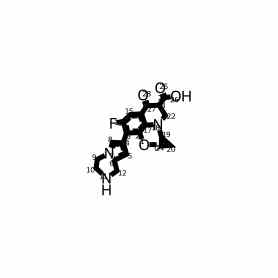 COc1c(-c2cc3n(c2)CCNC3)c(F)cc2c1N(C1CC1)CC(C(=O)O)C2=O